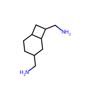 NCC1CCC2CC(CN)C2C1